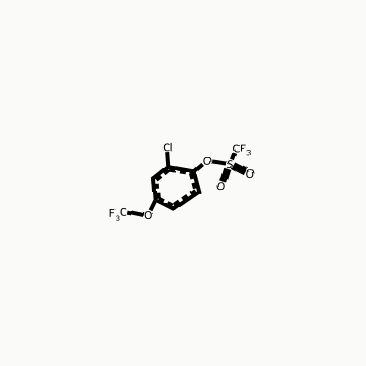 O=S(=O)(Oc1ccc(OC(F)(F)F)cc1Cl)C(F)(F)F